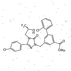 COC(=O)c1cc(Cn2nc(-c3ccc(Cl)cc3)n(C[C@H](O)C(F)(F)F)c2=O)cc(-c2ccccc2Cl)c1